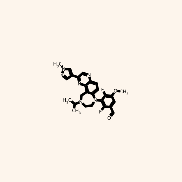 COc1cc(C=O)c(F)c(N2CCN(C(C)C)Cc3c2ccc2ncc(-c4cnn(C)c4)nc32)c1F